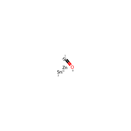 O=[Si].[Sn].[Zn]